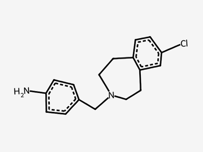 Nc1ccc(CN2CCc3ccc(Cl)cc3CC2)cc1